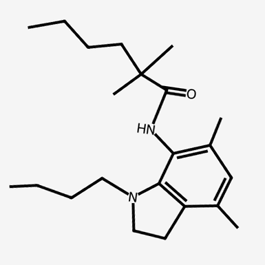 CCCCN1CCc2c(C)cc(C)c(NC(=O)C(C)(C)CCCC)c21